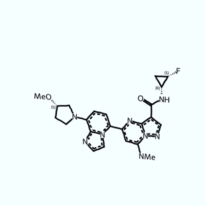 CNc1cc(-c2ccc(N3CC[C@H](OC)C3)c3nccn23)nc2c(C(=O)N[C@@H]3C[C@@H]3F)cnn12